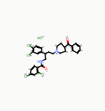 Cl.O=C(NCC(CCN1CCC(C(=O)c2ccccc2)CC1)c1ccc(Cl)c(Cl)c1)c1ccc(Cl)cc1Cl